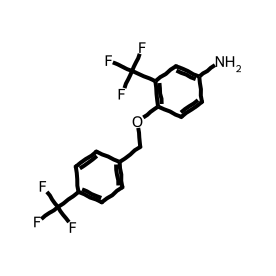 Nc1ccc(OCc2ccc(C(F)(F)F)cc2)c(C(F)(F)F)c1